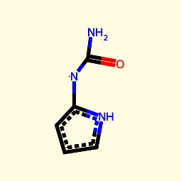 NC(=O)[N]c1ccc[nH]1